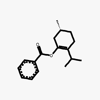 CC(C)C1=C(OC(=O)c2ccccc2)C[C@H](C)CC1